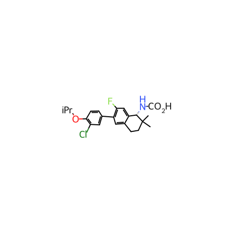 CC(C)Oc1ccc(-c2cc3c(cc2F)[C@H](NC(=O)O)C(C)(C)CC3)cc1Cl